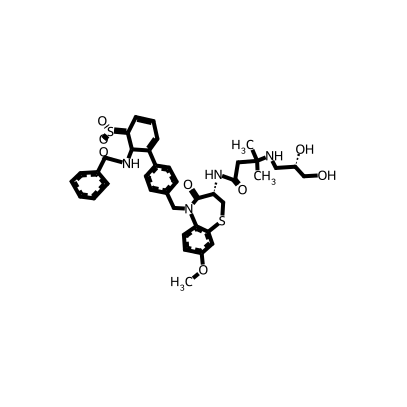 COc1ccc2c(c1)SC[C@@H](NC(=O)CC(C)(C)NC[C@H](O)CO)C(=O)N2Cc1ccc(C2=CC=CC(=S(=O)=O)C2NC(=O)c2ccccc2)cc1